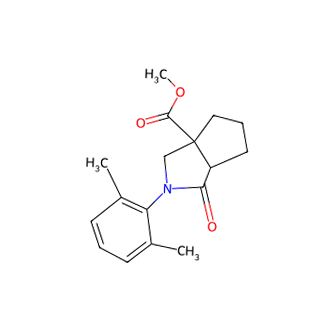 COC(=O)C12CCCC1C(=O)N(c1c(C)cccc1C)C2